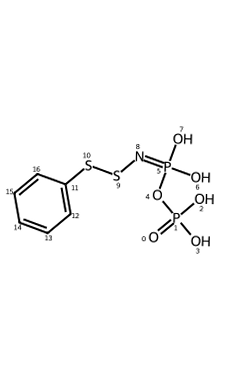 O=P(O)(O)OP(O)(O)=NSSc1ccccc1